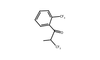 CC(C(=O)c1ccccc1C(F)(F)F)C(F)(F)F